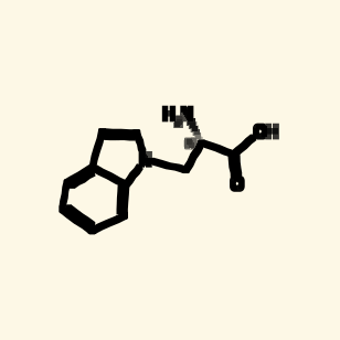 N[C@@H](Cn1ccc2ccccc21)C(=O)O